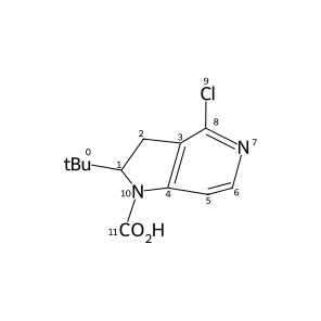 CC(C)(C)C1Cc2c(ccnc2Cl)N1C(=O)O